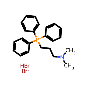 Br.CN(C)CCC[P+](c1ccccc1)(c1ccccc1)c1ccccc1.[Br-]